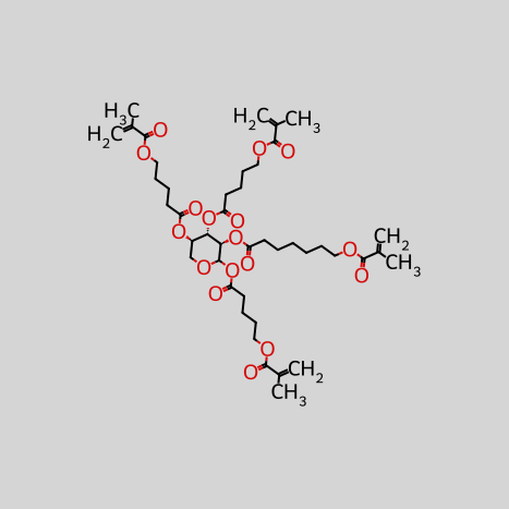 C=C(C)C(=O)OCCCCCCC(=O)O[C@H]1C(OC(=O)CCCCOC(=O)C(=C)C)OC[C@@H](OC(=O)CCCCOC(=O)C(=C)C)[C@@H]1OC(=O)CCCCOC(=O)C(=C)C